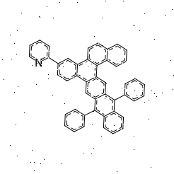 c1ccc(-c2c3ccccc3c(-c3ccccc3)c3cc4c(cc23)c2ccc(-c3ccccn3)cc2c2ccc3ccccc3c24)cc1